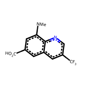 CNc1cc(C(=O)O)cc2cc(C(F)(F)F)cnc12